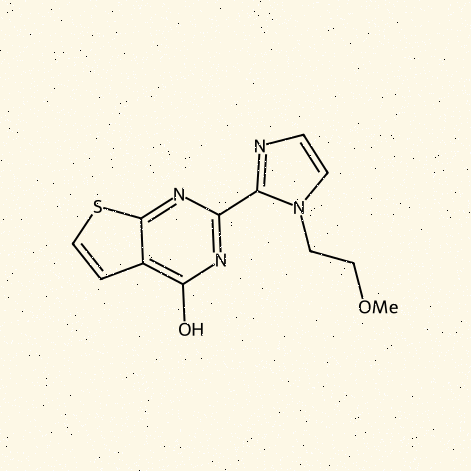 COCCn1ccnc1-c1nc(O)c2ccsc2n1